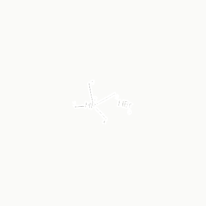 Br.C[PH](C)(C)C